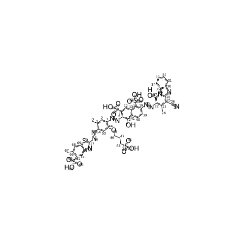 Cc1cc(N=Nc2c(S(=O)(=O)O)cc3c(S(=O)(=O)O)c(N=Nc4c(C)c(C#N)c5nc6ccccc6n5c4O)ccc3c2O)c(OCCCS(=O)(=O)O)cc1N=Nc1nc2cc(S(=O)(=O)O)c(C)cc2s1